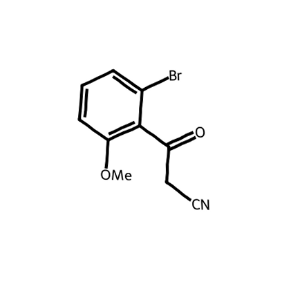 COc1cccc(Br)c1C(=O)CC#N